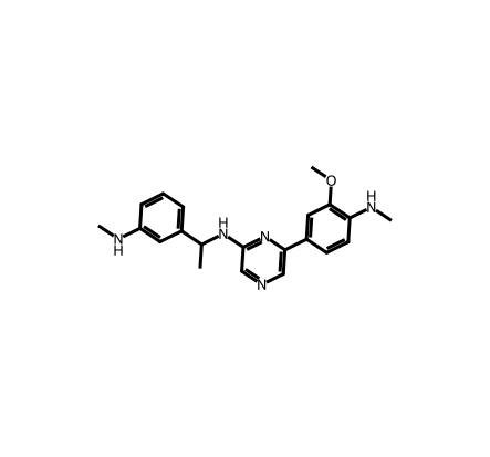 CNc1cccc(C(C)Nc2cncc(-c3ccc(NC)c(OC)c3)n2)c1